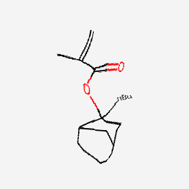 C=C(C)C(=O)OC1(CCCC)CC2CCC1C2